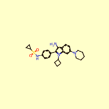 Nc1c(-c2ccc(NS(=O)(=O)C3CC3)cc2)n(C2CCC2)c2cc(N3CCCCC3)ccc12